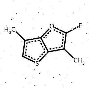 Cc1csc2c(C)c(F)oc12